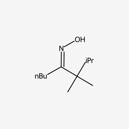 CCCCC(=NO)C(C)(C)C(C)C